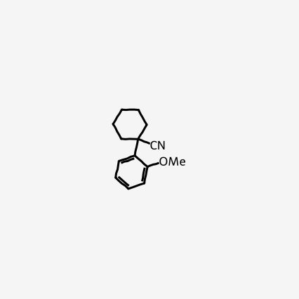 COc1ccccc1C1(C#N)CCCCC1